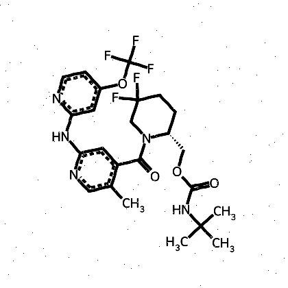 Cc1cnc(Nc2cc(OC(F)(F)F)ccn2)cc1C(=O)N1CC(F)(F)CC[C@@H]1COC(=O)NC(C)(C)C